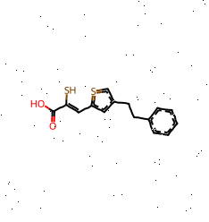 O=C(O)/C(S)=C/c1cc(CCc2ccccc2)cs1